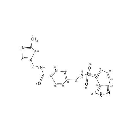 Cc1ncc(CNC(=O)c2ccc(CNS(=O)(=O)c3cccc4nsnc34)cn2)s1